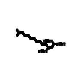 CCCCCCCCC(CCCCCC)CN(CCCCCCCC)CCCCCCCCCN(C)C